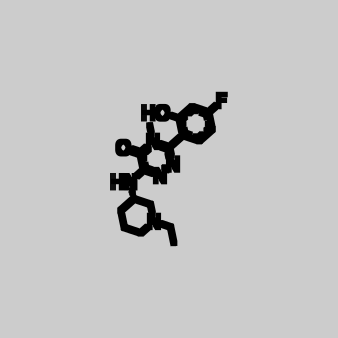 CCN1CCC[C@@H](Nc2nnc(-c3ccc(F)cc3O)n(C)c2=O)C1